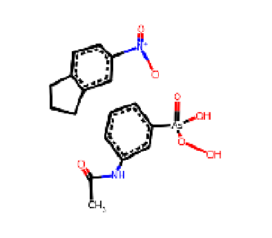 CC(=O)Nc1cccc([As](=O)(O)OO)c1.O=[N+]([O-])c1ccc2c(c1)CCC2